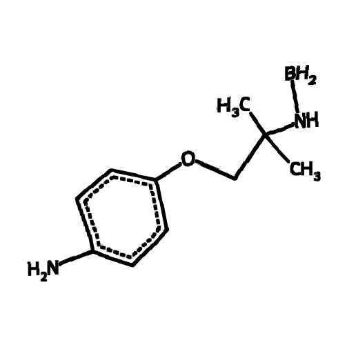 BNC(C)(C)COc1ccc(N)cc1